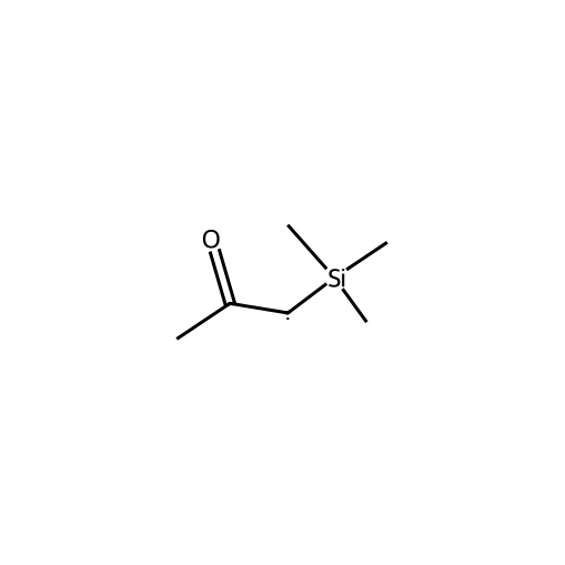 CC(=O)[CH][Si](C)(C)C